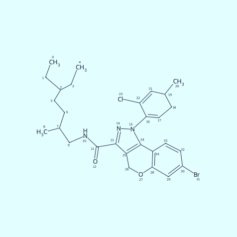 CCC(CC)CCC(C)CNC(=O)c1nn(C2=CCC(C)C=C2Cl)c2c1COc1cc(Br)ccc1-2